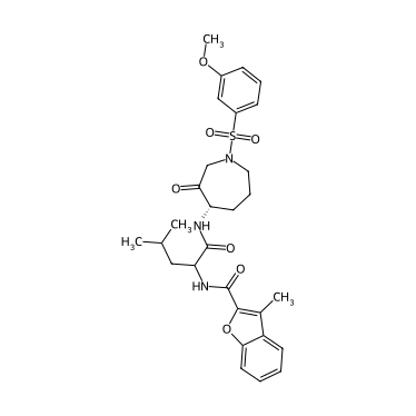 COc1cccc(S(=O)(=O)N2CCC[C@H](NC(=O)C(CC(C)C)NC(=O)c3oc4ccccc4c3C)C(=O)C2)c1